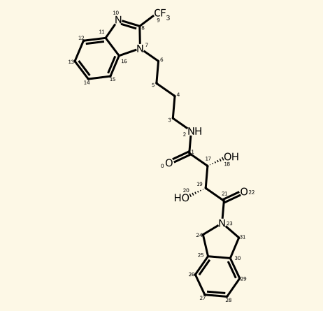 O=C(NCCCCn1c(C(F)(F)F)nc2ccccc21)[C@H](O)[C@@H](O)C(=O)N1Cc2ccccc2C1